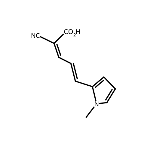 Cn1cccc1C=CC=C(C#N)C(=O)O